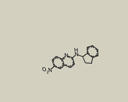 O=[N+]([O-])c1ccc2nc(NC3CCc4ccccc43)ccc2c1